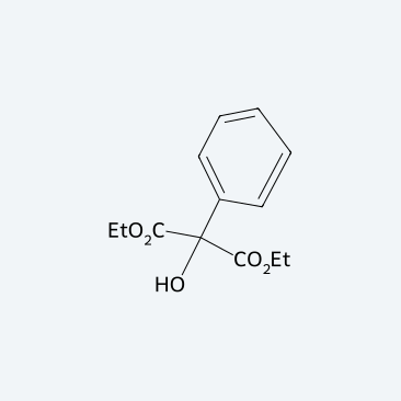 CCOC(=O)C(O)(C(=O)OCC)c1ccccc1